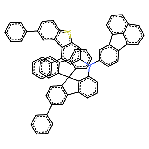 c1ccc(-c2ccc3c(c2)-c2cccc(N(c4ccc5c(c4)-c4cccc6cccc-5c46)c4cc(-c5ccccc5)c5c(c4)sc4ccc(-c6ccccc6)cc45)c2C32c3ccccc3-c3ccccc32)cc1